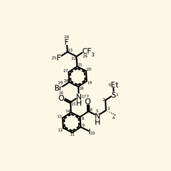 CCSC[C@H](C)NC(=O)c1c(I)cccc1C(=O)Nc1ccc(C(C(F)F)C(F)(F)F)cc1Br